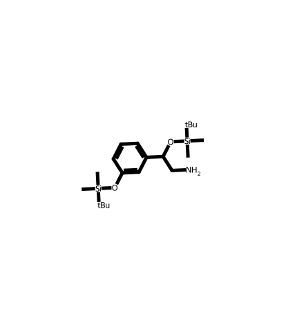 CC(C)(C)[Si](C)(C)Oc1cccc(C(CN)O[Si](C)(C)C(C)(C)C)c1